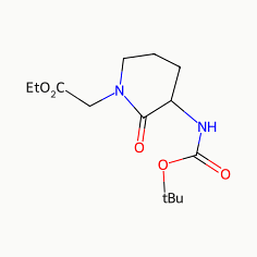 CCOC(=O)CN1CCCC(NC(=O)OC(C)(C)C)C1=O